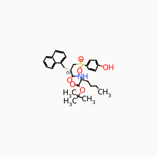 CCCC[C@H](NC(=O)[C@H](Cc1cccc2ccccc12)CS(=O)(=O)c1ccc(O)cc1)C(=O)OC(C)(C)C